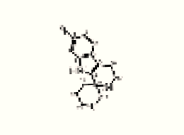 Ic1ccc2c3c([nH]c2c1)C1(CCCOC1)NCC3